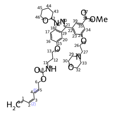 C=C/C=C\C=C\COC(=O)NCCCOc1ccc2c(c1)c(-c1cc(OCCN3CCOCC3)cc(C(=O)OC)c1)nn2C1CCCCO1